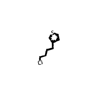 ClCCCCc1ccsc1